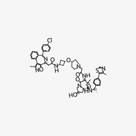 Cc1ncsc1-c1ccc([C@H](C)NC(=O)[C@@H]2C[C@@H](O)CN2C(=O)[C@@H](NC(=O)CN2CCC(O[C@H]3C[C@H](NC(=O)C[C@@H]4N=C(c5ccc(Cl)cc5)c5ccccc5-c5c(C)noc54)C3)CC2)C(C)(C)C)cc1